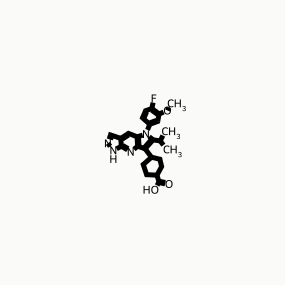 COc1cc(-n2c(C(C)C)c(C3CCC(C(=O)O)CC3)c3nc4[nH]ncc4cc32)ccc1F